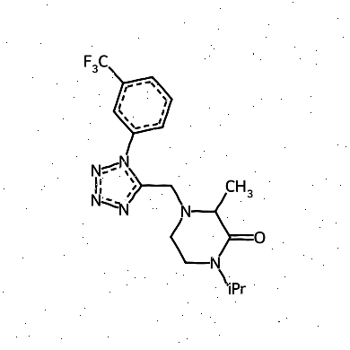 CC1C(=O)N(C(C)C)CCN1Cc1nnnn1-c1cccc(C(F)(F)F)c1